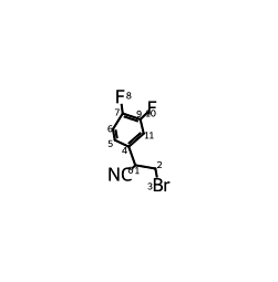 N#CC(CBr)c1ccc(F)c(F)c1